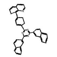 C1=CCC(C2=CC=C(c3nc(-c4ccc5ccccc5c4)nc(-c4ccc5ccccc5c4)n3)CC2)=c2ncccc2=1